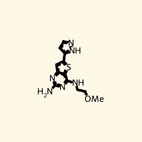 COCCNc1nc(N)nc2cc(-c3ccn[nH]3)sc12